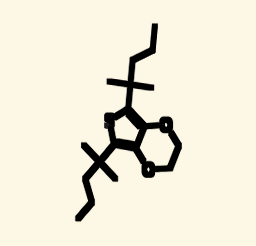 CCCC(C)(C)c1sc(C(C)(C)CCC)c2c1OCCO2